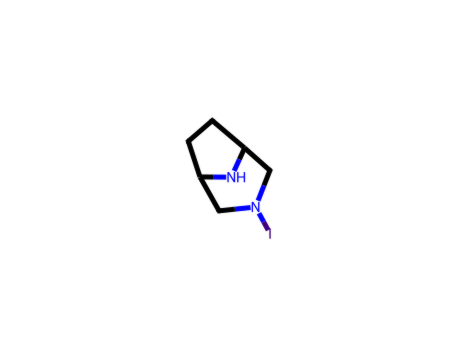 IN1CC2CCC(C1)N2